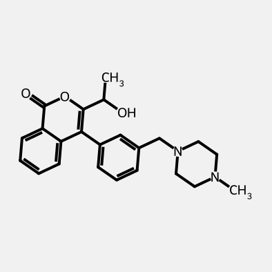 CC(O)c1oc(=O)c2ccccc2c1-c1cccc(CN2CCN(C)CC2)c1